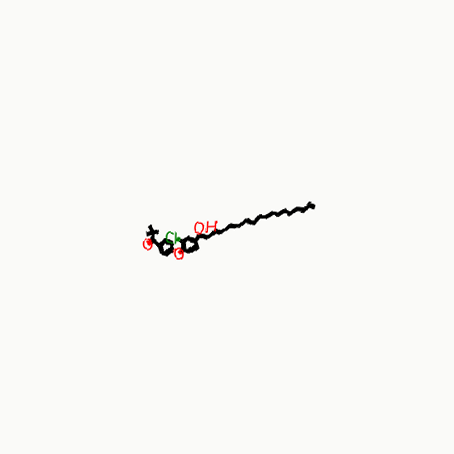 CCCCCCCCCCCCCCCCCC(O)c1ccc(Oc2ccc(C(=O)C(C)(C)C)cc2)c(Cl)c1